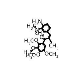 CCC(=Cc1ccc(N)c(N(C)C)c1)C(=O)c1cc(OC)c(OC)c(OC)c1OC